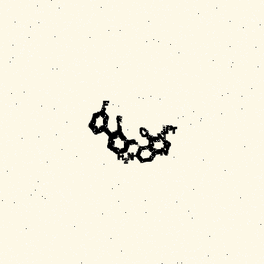 CC(C)n1cnc2c(c1=O)[C@@H](Cc1cccc(-c3cccc(F)c3)c1F)[C@@H](N)CC2